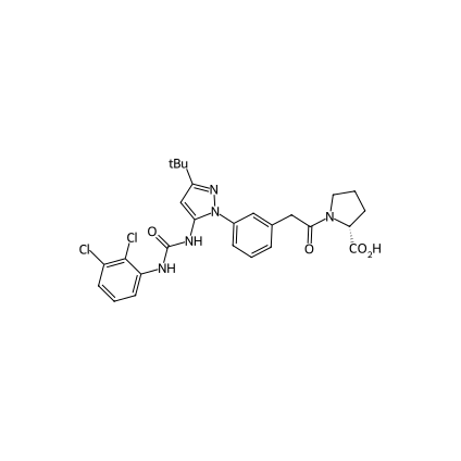 CC(C)(C)c1cc(NC(=O)Nc2cccc(Cl)c2Cl)n(-c2cccc(CC(=O)N3CCC[C@@H]3C(=O)O)c2)n1